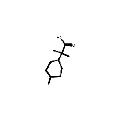 CC1CCC(C(C)(C)C(=O)O)CC1